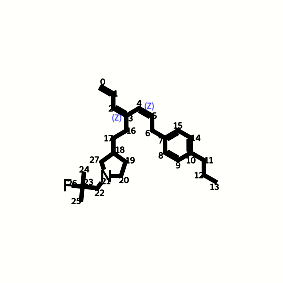 C=C/C=C(\C=C/Cc1ccc(CCC)cc1)CCC1CCN(CC(C)(C)F)C1